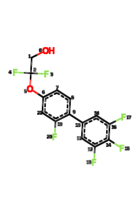 OCC(F)(F)Oc1ccc(-c2cc(F)c(F)c(F)c2)c(F)c1